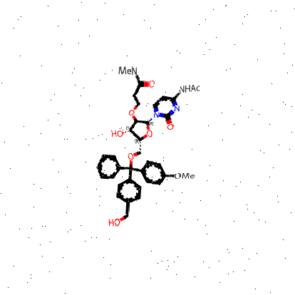 CNC(=O)CCOC1[C@@H](O)[C@@H](COC(c2ccccc2)(c2ccc(CO)cc2)c2ccc(OC)cc2)O[C@H]1n1ccc(NC(C)=O)nc1=O